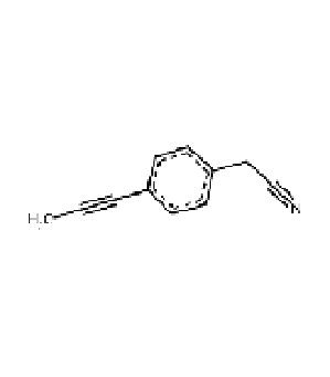 CC#Cc1ccc(CC#N)cc1